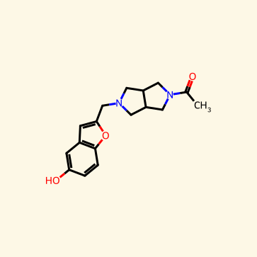 CC(=O)N1CC2CN(Cc3cc4cc(O)ccc4o3)CC2C1